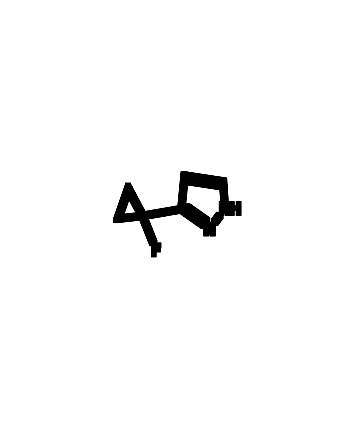 FC1(c2cc[nH]n2)CC1